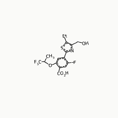 CCc1sc(-c2cc(OC(C)C(F)(F)F)c(C(=O)O)cc2F)nc1CO